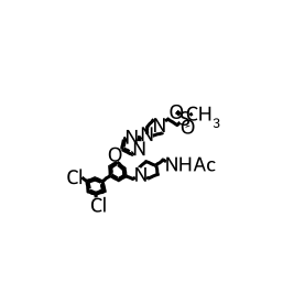 CC(=O)NCC1CCN(Cc2cc(Oc3cnc(N4CCN(CCS(C)(=O)=O)CC4)nc3)cc(-c3cc(Cl)cc(Cl)c3)c2)CC1